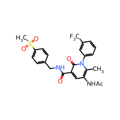 CC(=O)Nc1cc(C(=O)NCc2ccc(S(C)(=O)=O)cc2)c(=O)n(-c2cccc(C(F)(F)F)c2)c1C